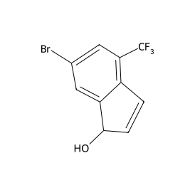 OC1C=Cc2c1cc(Br)cc2C(F)(F)F